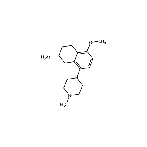 COc1ccc(N2CCN(C)CC2)c2c1CC[C@@H]([AsH2])C2